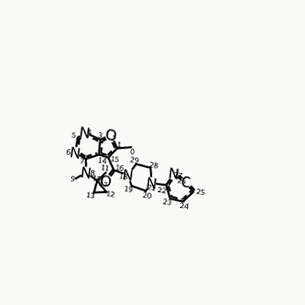 Cc1oc2ncnc(N(C)C3(C)CC3)c2c1C(=O)N1CCN(c2ccccn2)CC1